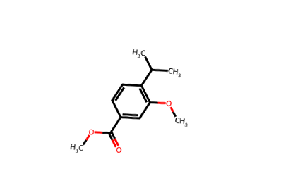 COC(=O)c1ccc(C(C)C)c(OC)c1